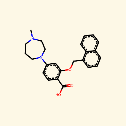 CN1CCCN(c2ccc(C(=O)O)c(OCc3cccc4ccccc34)c2)CC1